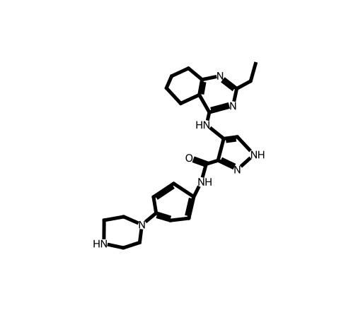 CCc1nc2c(c(Nc3c[nH]nc3C(=O)Nc3ccc(N4CCNCC4)cc3)n1)CCCC2